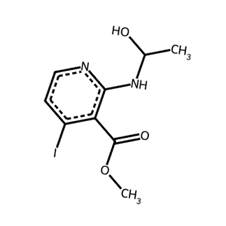 COC(=O)c1c(I)ccnc1NC(C)O